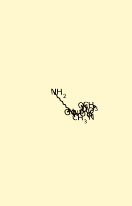 CC1CN(C(=O)CCCCCCCCCCN)CCN1Cc1cc2c(=O)n(C)cc(-c3ccncc3OCC3CC3)c2o1